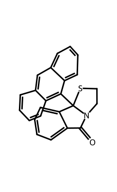 O=C1c2ccccc2C2(c3c4ccccc4cc4ccccc34)SCCN12